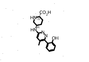 Cc1cc(N[C@@H]2CC[C@@H](C(=O)O)NC2)nnc1-c1ccccc1O